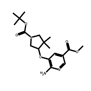 COC(=O)c1cnc(N)c(OC2CN(C(=O)OC(C)(C)C)CC2(C)C)c1